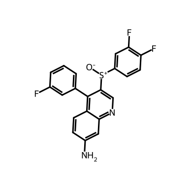 Nc1ccc2c(-c3cccc(F)c3)c([S+]([O-])c3ccc(F)c(F)c3)cnc2c1